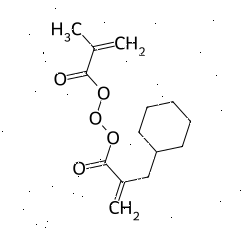 C=C(C)C(=O)OOOC(=O)C(=C)CC1CCCCC1